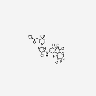 Cn1c(=O)c2c(c3cc(Nc4nc(N5CCC(F)(F)C(CC(=O)N6CCC6)C5)ncc4Cl)ccc31)N[C@@H](C1CC1)C(F)(F)CO2